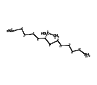 CC(=O)O.CCCCCCCCCCCCCCCCCCCCN